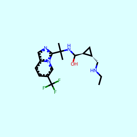 CCNC[C@H]1C[C@@H]1C(O)NC(C)(C)c1ncc2ccc(C(F)(F)F)cn12